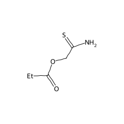 CCC(=O)OCC(N)=S